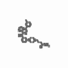 Cc1cccc(-c2cnc(Nc3cccc(N4CCN(CCCC(N)=O)CC4)c3)c3nccn23)c1